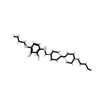 CCCCC[C@H]1CC[C@H]([C@H]2CC[C@H](COc3ccc(OCCCC)c(F)c3F)CC2)CC1